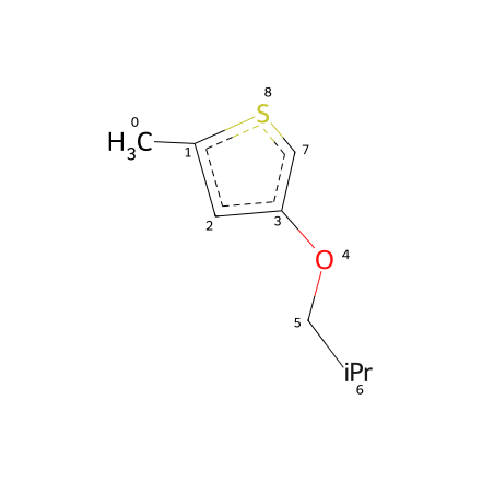 Cc1cc(OCC(C)C)cs1